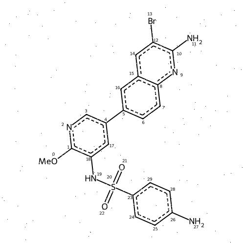 COc1ncc(-c2ccc3nc(N)c(Br)cc3c2)cc1NS(=O)(=O)c1ccc(N)cc1